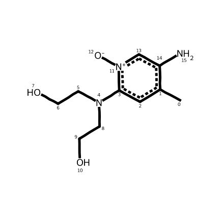 Cc1cc(N(CCO)CCO)[n+]([O-])cc1N